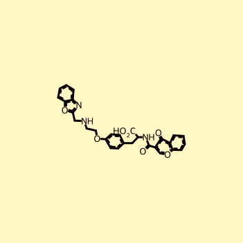 O=C(NC(Cc1ccc(OCCNCc2nc3ccccc3o2)cc1)C(=O)O)c1coc2ccccc2c1=O